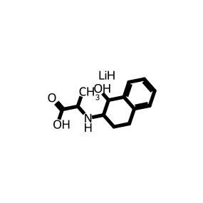 CC(NC1CCc2ccccc2C1O)C(=O)O.[LiH]